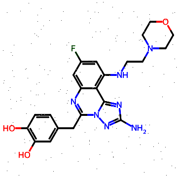 Nc1nc2c3c(NCCN4CCOCC4)cc(F)cc3nc(Cc3ccc(O)c(O)c3)n2n1